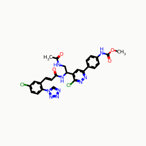 COC(=O)Nc1ccc(-c2cc(C(CNC(C)=O)NC(=O)/C=C/c3cc(Cl)ccc3-n3cnnn3)c(Cl)nn2)cc1